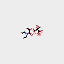 CCN(CC)C(=O)C(C)OC(=O)C1(C(=O)O)CO1